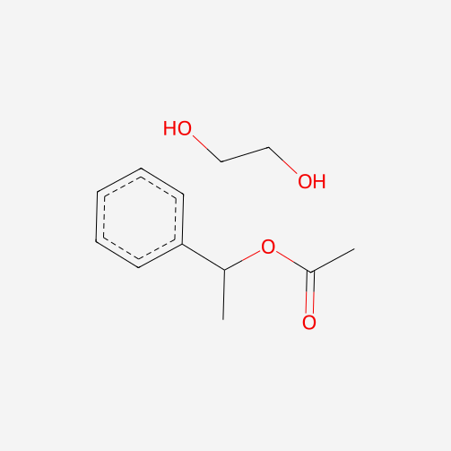 CC(=O)OC(C)c1ccccc1.OCCO